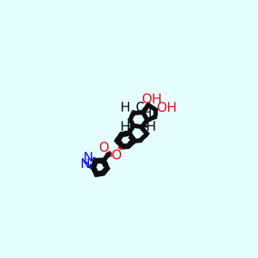 C[C@]12CC[C@@H]3c4ccc(OC(=O)c5cccc6c5N=N6)cc4CC[C@H]3[C@@H]1C[C@@H](O)[C@@H]2O